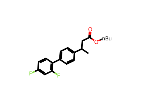 CCCCOC(=O)CC(C)c1ccc(-c2ccc(F)cc2F)cc1